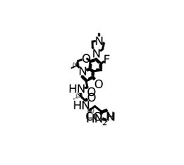 C[C@H](NC(=O)c1cn2c3c(c(N4CCN(C)CC4)c(F)cc3c1=O)OC[C@@H]2C)C(=O)N[C@@H](Cc1cnc[nH]1)C(=O)O